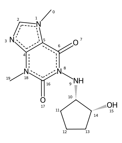 Cn1cnc2c1c(=O)n(N[C@H]1CCC[C@H]1O)c(=O)n2C